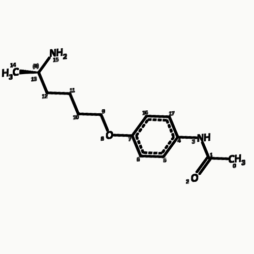 CC(=O)Nc1ccc(OCCCC[C@@H](C)N)cc1